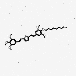 CCCCCCCCCOc1c(OC)cc(/C=C/c2ccc(/C=C/c3cc(OC)c(OC)c(OC)c3)s2)cc1OC